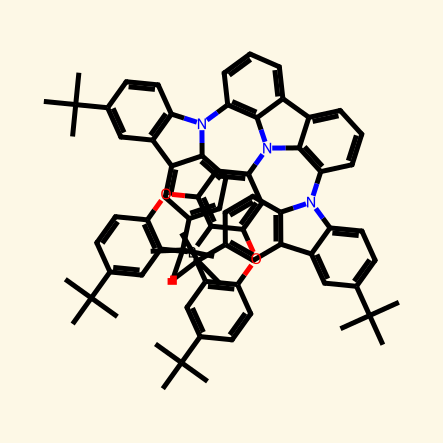 CC(C)(C)c1ccc2c(c1)B1c3cc(C(C)(C)C)ccc3Oc3cc(-n4c5c(-n6c7ccc(C(C)(C)C)cc7c7cc(C(C)(C)C)ccc76)cccc5c5cccc(-n6c7ccc(C(C)(C)C)cc7c7cc(C(C)(C)C)ccc76)c54)cc(c31)O2